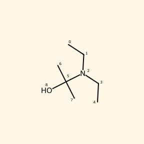 CCN(CC)C(C)(C)O